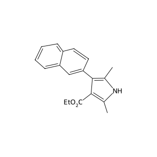 CCOC(=O)c1c(C)[nH]c(C)c1-c1ccc2ccccc2c1